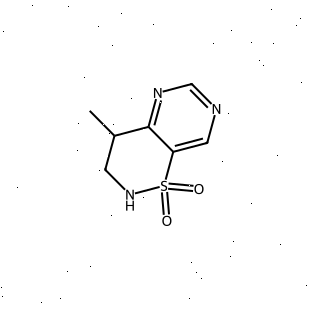 CC1CNS(=O)(=O)c2cncnc21